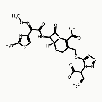 C=CC(C(=O)O)n1nnnc1SCC1=C(C(=O)O)N2C(=O)C(NC(=O)/C(=N/OC)c3csc(N)n3)[C@H]2SC1